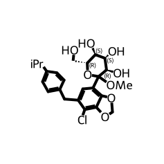 COC1(c2cc(Cc3ccc(C(C)C)cc3)c(Cl)c3c2OCO3)O[C@H](CO)[C@@H](O)[C@H](O)[C@H]1O